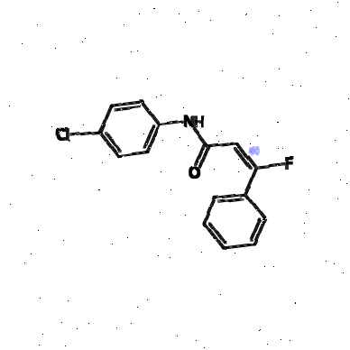 O=C(/C=C(/F)c1ccccc1)Nc1ccc(Cl)cc1